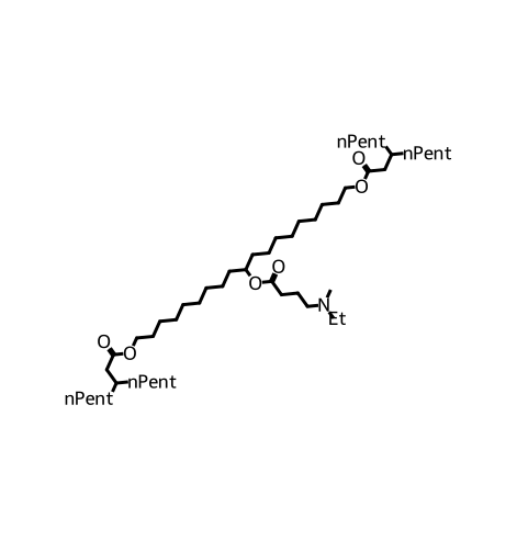 CCCCCC(CCCCC)CC(=O)OCCCCCCCCCC(CCCCCCCCCOC(=O)CC(CCCCC)CCCCC)OC(=O)CCCN(C)CC